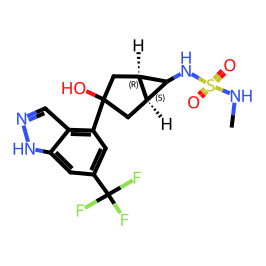 CNS(=O)(=O)NC1[C@H]2CC(O)(c3cc(C(F)(F)F)cc4[nH]ncc34)C[C@@H]12